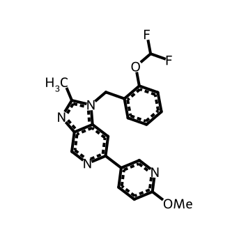 COc1ccc(-c2cc3c(cn2)nc(C)n3Cc2ccccc2OC(F)F)cn1